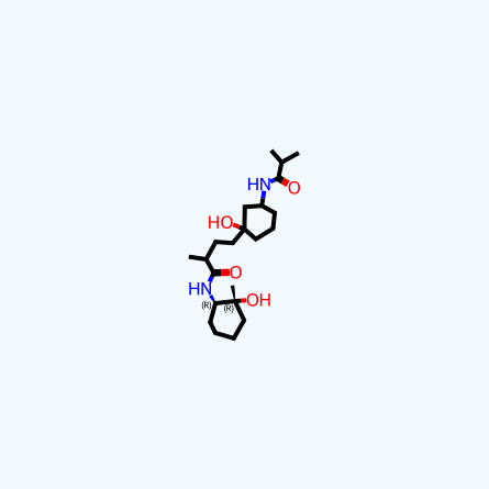 CC(C)C(=O)NC1CCCC(O)(CCC(C)C(=O)N[C@@H]2CCCC[C@@]2(C)O)C1